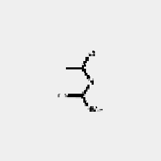 CCC(C)[N]C(=N)NC